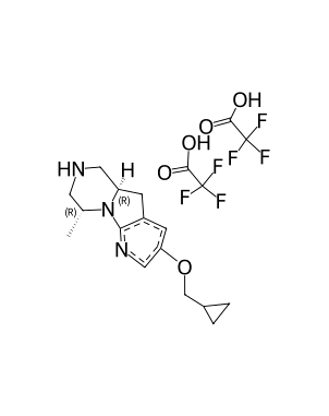 C[C@@H]1CNC[C@H]2Cc3cc(OCC4CC4)cnc3N21.O=C(O)C(F)(F)F.O=C(O)C(F)(F)F